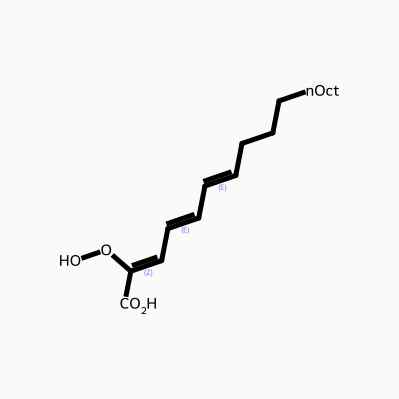 CCCCCCCCCCC/C=C/C=C/C=C(\OO)C(=O)O